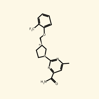 Cc1cc(C(N)=O)nc(N2CC[C@@H](COc3ccccc3C(F)(F)F)C2)n1